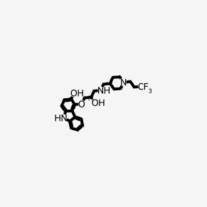 Oc1ccc2[nH]c3ccccc3c2c1OC[C@H](O)CNCC1CCN(CCC(F)(F)F)CC1